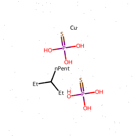 CCCCCC(CC)CC.OP(O)(O)=S.OP(O)(O)=S.[Cu]